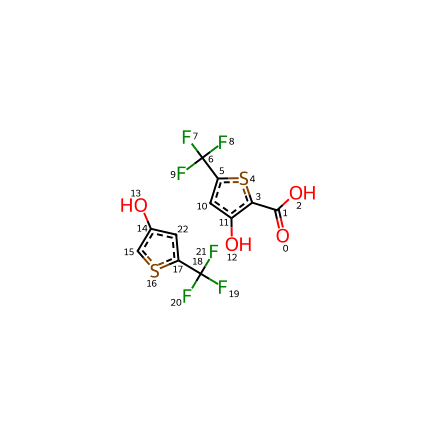 O=C(O)c1sc(C(F)(F)F)cc1O.Oc1csc(C(F)(F)F)c1